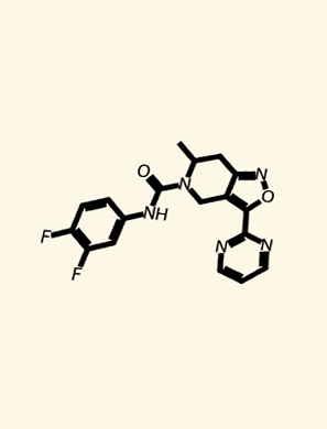 CC1Cc2noc(-c3ncccn3)c2CN1C(=O)Nc1ccc(F)c(F)c1